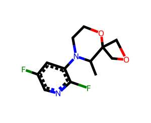 CC1N(c2cc(F)cnc2F)CCOC12COC2